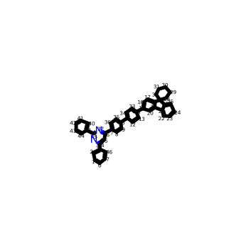 c1ccc(-c2cc(-c3ccc(-c4ccc(-c5ccc6c(c5)-c5ccccc5C65CCCCC5)cc4)cc3)nc(-c3ccccc3)n2)cc1